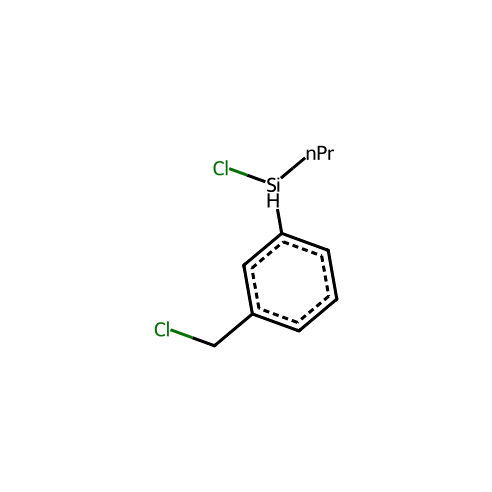 CCC[SiH](Cl)c1cccc(CCl)c1